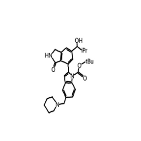 CC(C)C(O)c1cc2c(c(-c3cc4cc(CN5CCCCC5)ccc4n3C(=O)OC(C)(C)C)c1)C(=O)NC2